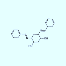 OC1CC(O)C(/N=C/c2ccccc2)CC1/N=C/c1ccccc1